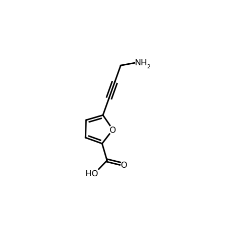 NCC#Cc1ccc(C(=O)O)o1